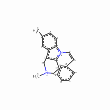 Cc1ccc2c(c1)c1c(n2/C=C\c2ccccc2)CCN(C)C1